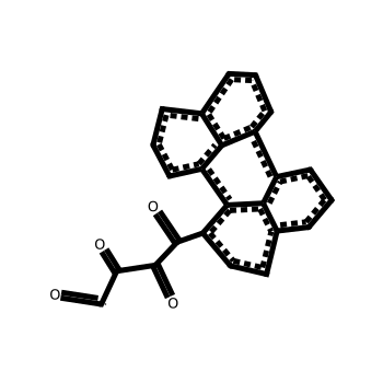 O=[C]C(=O)C(=O)C(=O)c1ccc2cccc3c4cccc5cccc(c1c23)c54